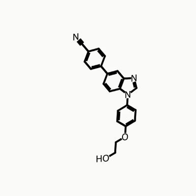 N#Cc1ccc(-c2ccc3c(c2)ncn3-c2ccc(OCCO)cc2)cc1